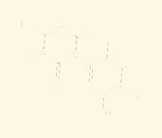 Cn1c(C(F)(F)F)cc(=O)n(-c2cc(O)c(Br)cc2F)c1=O